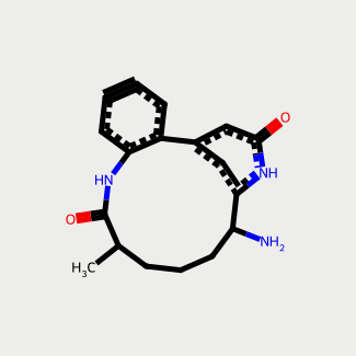 CC1CCCC(N)c2cc(cc(=O)[nH]2)-c2cc#ccc2NC1=O